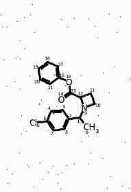 CC(c1ccc(Cl)cc1)N1CCC1C(=O)Oc1ccccc1